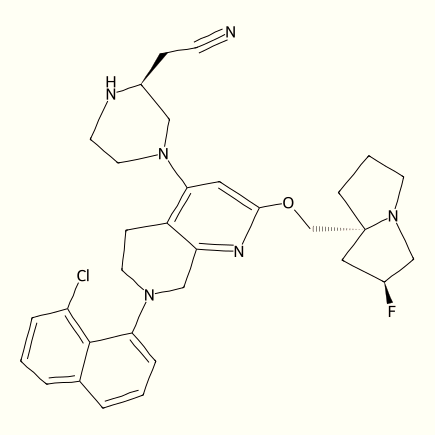 N#CC[C@H]1CN(c2cc(OC[C@]34CCCN3C[C@@H](F)C4)nc3c2CCN(c2cccc4cccc(Cl)c24)C3)CCN1